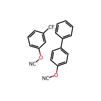 N#COc1ccc(-c2ccccc2)cc1.N#COc1cccc(C(F)(F)F)c1